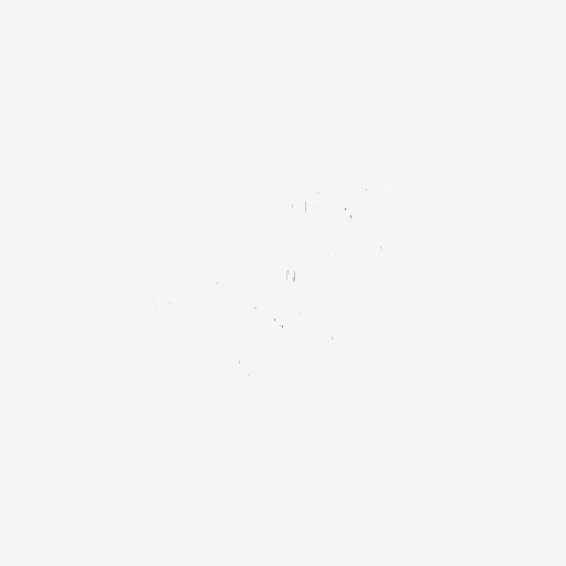 Cc1cccc2c(Nc3ccc(C(F)(F)F)cc3Cl)ncc(C3CCCCN3C=O)c12